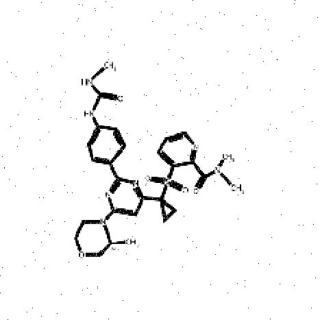 CNC(=O)Nc1ccc(-c2nc(N3CCOC[C@@H]3C)cc(C3(S(=O)(=O)c4cccnc4C(=O)N(C)C)CC3)n2)cc1